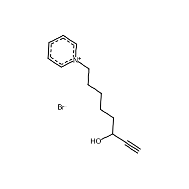 C#CC(O)CCCCC[n+]1ccccc1.[Br-]